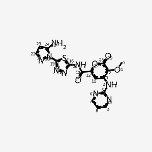 COc1c(Nc2ncccn2)cc(C(=O)Nc2nnc(-n3nccc3N)s2)oc1=O